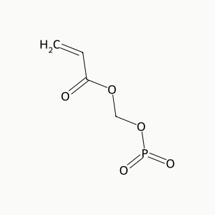 C=CC(=O)OCOP(=O)=O